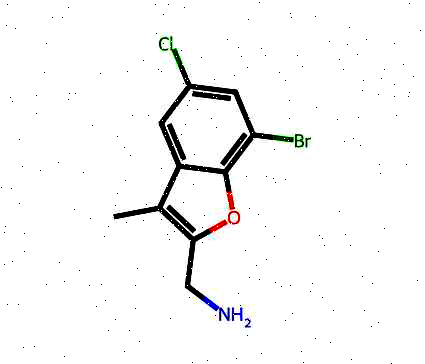 Cc1c(CN)oc2c(Br)cc(Cl)cc12